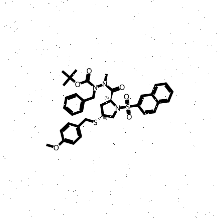 COc1ccc(CS[C@@H]2C[C@@H](C(=O)N(C)N(Cc3ccccc3)C(=O)OC(C)(C)C)N(S(=O)(=O)c3ccc4ccccc4c3)C2)cc1